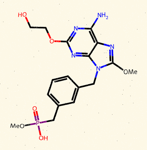 COc1nc2c(N)nc(OCCO)nc2n1Cc1cccc(CP(=O)(O)OC)c1